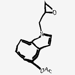 CC(=O)Oc1cccc2c1ccn2CC1CO1